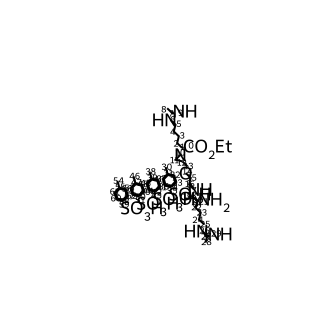 CCOC(=O)C(CCCCNC(C)=N)N1CC1COCCNC(=O)C(N)CCCCNC(C)=N.Cc1ccc(S(=O)(=O)O)cc1.Cc1ccc(S(=O)(=O)O)cc1.Cc1ccc(S(=O)(=O)O)cc1.Cc1ccc(S(=O)(=O)O)cc1